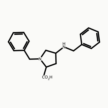 O=C(O)C1CC(NCc2ccccc2)CN1Cc1ccccc1